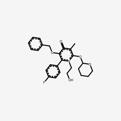 Cc1c(OC2CCCCO2)n(CCO)c(-c2ccc(F)cc2)c(OCc2ccccc2)c1=O